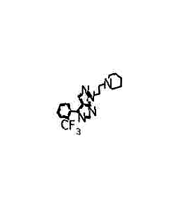 FC(F)(F)c1ccccc1-c1ncnc2c1cnn2CCN1CCCCC1